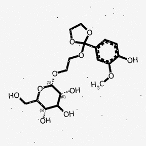 COc1cc(C2(OCCO[C@H]3OC(CO)[C@@H](O)C(O)[C@H]3O)OCCO2)ccc1O